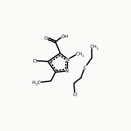 CCCCCCl.CCc1nn(C)c(C(=O)O)c1Cl